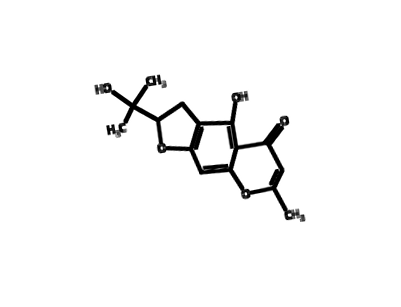 Cc1cc(=O)c2c(O)c3c(cc2o1)OC(C(C)(C)O)C3